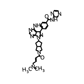 CN(C)CC=CC(=O)N1CC2CC(n3nc(-c4ccc(C(=O)Nc5cnccn5)cc4)c4c(N)ncnc43)CC2C1